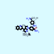 CCc1cn(-c2ccc(C(N)=O)c(N[C@H]3CC[C@H](C(N)C(=O)O)CC3)c2)c2nccc(-c3cnc4ccccc4c3)c12.CS(=O)(=O)O.CS(=O)(=O)O